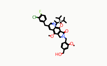 COc1cc(CO)ccc1CN1Cc2c(c(O[Si](C(C)C)(C(C)C)C(C)C)c3ncc(Cc4ccc(F)c(Cl)c4)cc3c2OC)C1=O